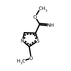 COC(=N)c1cnc(OC)s1